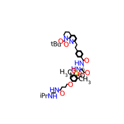 COC(=O)[C@@H](CNC(=O)c1ccc(CCc2ccc3c(n2)N(C(=O)OC(C)(C)C)CCC3)cc1)NS(=O)(=O)c1c(C)cc(OCCCC(=O)NCCNC(C)C)cc1C